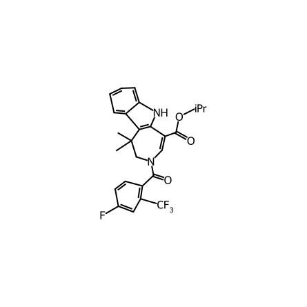 CC(C)OC(=O)C1=CN(C(=O)c2ccc(F)cc2C(F)(F)F)CC(C)(C)c2c1[nH]c1ccccc21